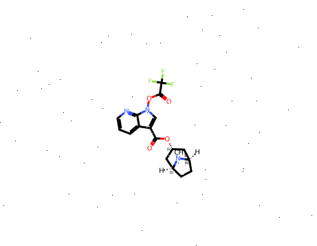 CN1[C@@H]2CC[C@H]1C[C@H](OC(=O)c1cn(OC(=O)C(F)(F)F)c3ncccc13)C2